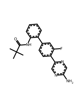 CC(C)(C)C(=O)Nc1ccccc1-c1ccc(-c2cnc(N)cn2)c(F)c1